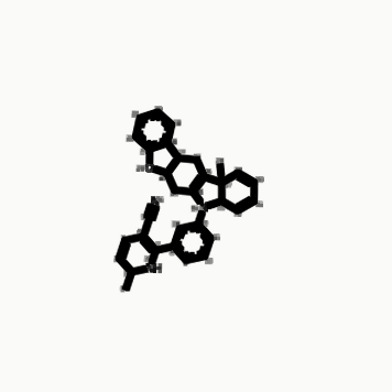 CC1C=CC(C#N)=C(c2cccc(N3C4=C(CC5c6ccccc6OC5C4)C4(C)C=CC=CC34)c2)N1